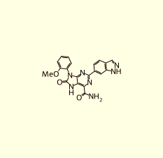 COc1ccccc1-n1c(=O)[nH]c2c(C(N)=O)nc(-c3ccc4cn[nH]c4c3)nc21